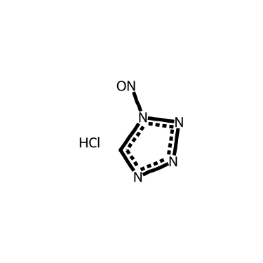 Cl.O=Nn1cnnn1